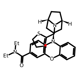 CCN(CC)C(=O)c1ccc2c(c1)Oc1ccccc1N2[C@@H]1C[C@H]2CC[C@@H](C1)N2CC1=NCCS1